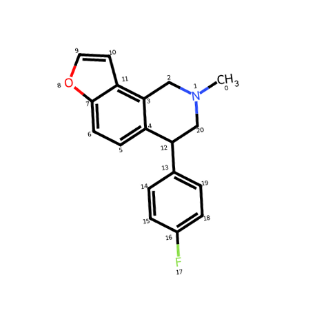 CN1Cc2c(ccc3occc23)C(c2ccc(F)cc2)C1